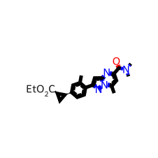 CCOC(=O)[C@@H]1C[C@H]1c1ccc(-c2cc3nc(C(=O)N(C)C)cc(C)n3n2)c(C)c1